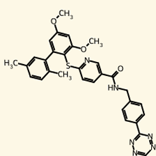 COc1cc(OC)c(Sc2ccc(C(=O)NCc3ccc(-c4nncnn4)cc3)cn2)c(-c2cc(C)ccc2C)c1